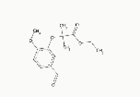 CCOC(=O)C(C)(C)Oc1cc(C=O)ccc1OC